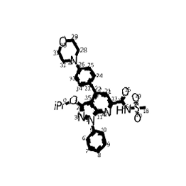 CC(C)Oc1nn(-c2ccccc2)c2nc(C(=O)NS(C)(=O)=O)cc(-c3ccc(N4CCOCC4)cc3)c12